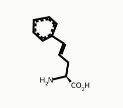 N[C@@H](C/C=C/c1ccccc1)C(=O)O